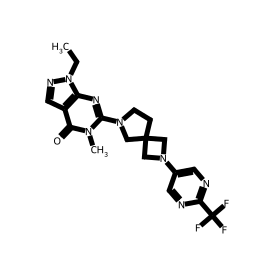 CCn1ncc2c(=O)n(C)c(N3CCC4(CN(c5cnc(C(F)(F)F)nc5)C4)C3)nc21